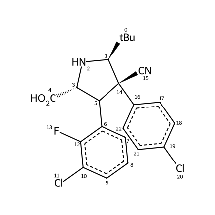 CC(C)(C)[C@@H]1N[C@@H](C(=O)O)C(c2cccc(Cl)c2F)[C@@]1(C#N)c1ccc(Cl)cc1